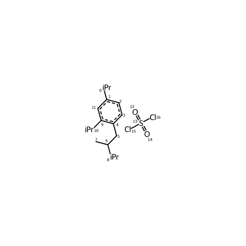 CC(C)c1ccc(CC(C)C(C)C)c(C(C)C)c1.O=S(=O)(Cl)Cl